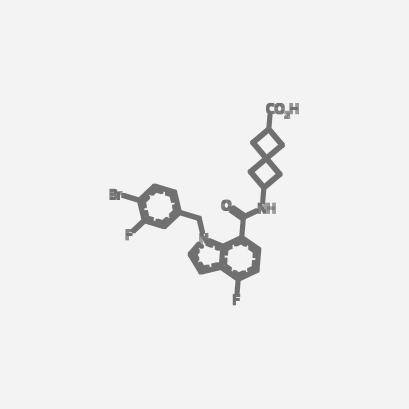 O=C(NC1CC2(C1)CC(C(=O)O)C2)c1ccc(F)c2ccn(Cc3ccc(Br)c(F)c3)c12